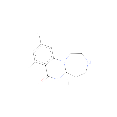 Cc1cc(Cl)c2c(c1)N1CCNCC[C@H]1NC2=O